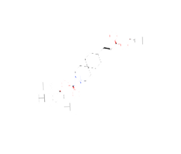 CCOC(=O)/C=C/C1CCC2(CC1)CCN(C(=O)OC(C)(C)C)CC2